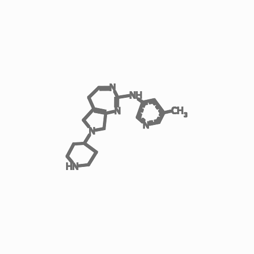 Cc1cncc(NC2=NC3=C(CC=N2)CN(C2CCNCC2)C3)c1